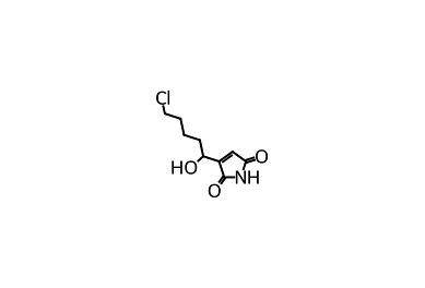 O=C1C=C(C(O)CCCCCl)C(=O)N1